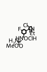 CCn1ncc(Cl)c1-c1cc(F)cc(C(=O)NC[C@@H](N)C(=O)OC)c1.Cl